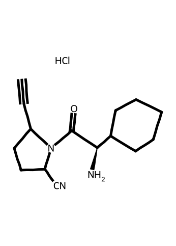 C#CC1CCC(C#N)N1C(=O)[C@H](N)C1CCCCC1.Cl